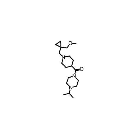 COCC1(CN2CCC(C(=O)N3CCN(C(C)C)CC3)CC2)CC1